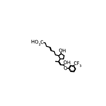 CC(=CC(O)Oc1cccc(C(F)(F)F)c1)C1CCC(O)C1CCC=CCCC(=O)O